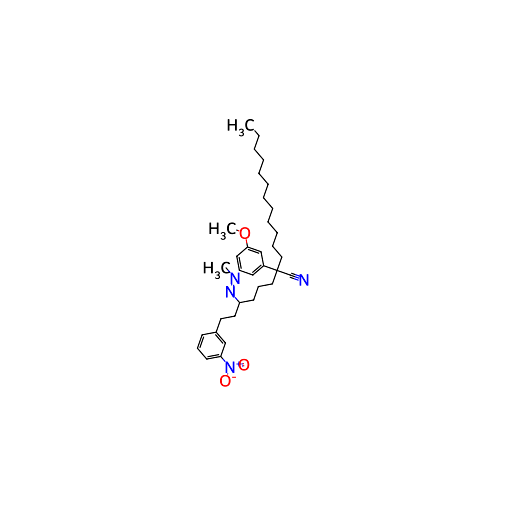 CCCCCCCCCCCCC(C#N)(CCCC(CCc1cccc([N+](=O)[O-])c1)/N=N/C)c1cccc(OC)c1